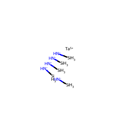 [NH-][SiH3].[NH-][SiH3].[NH-][SiH3].[NH-][SiH3].[NH-][SiH3].[Ta+5]